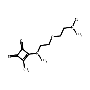 CCN(C)CCOCCN(C)c1c(C)c(=S)c1=O